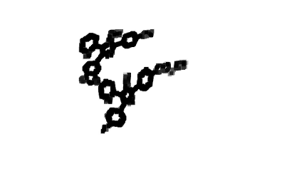 CCOC(=O)c1ccc(-c2nc(-c3ccc(F)cc3)c(-c3ccccn3)[nH]2)cc1.N#Cc1ccc(-c2nc(-c3ccc4c(c3)OCO4)c(-c3ccccn3)n2O)cc1